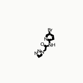 O=C(Cn1ccnn1)Nc1ccc(Br)cn1